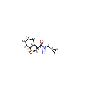 O=C(NCC1CC1)c1[c]sc2c1CCCC2